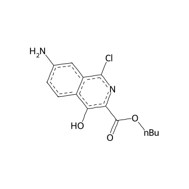 CCCCOC(=O)c1nc(Cl)c2cc(N)ccc2c1O